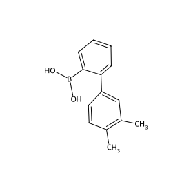 Cc1ccc(-c2ccccc2B(O)O)cc1C